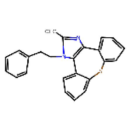 O=Cc1nc2c(n1CCc1ccccc1)-c1ccccc1Sc1ccccc1-2